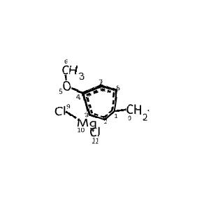 [CH2]c1ccc(OC)cc1.[Cl][Mg][Cl]